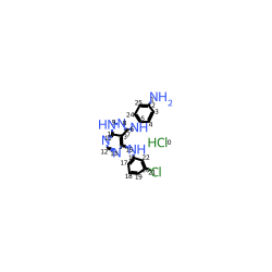 Cl.Nc1ccc(Nc2n[nH]c3ncnc(Nc4cccc(Cl)c4)c23)cc1